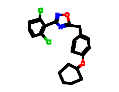 Clc1cccc(Cl)c1-c1noc(Cc2ccc(OC3CCCCC3)cc2)n1